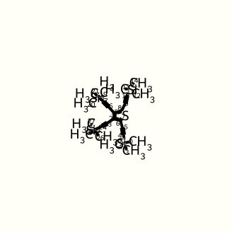 C[Si](C)(C)C#Cc1sc(C#C[Si](C)(C)C)c(C#C[Si](C)(C)C)c1C#C[Si](C)(C)C